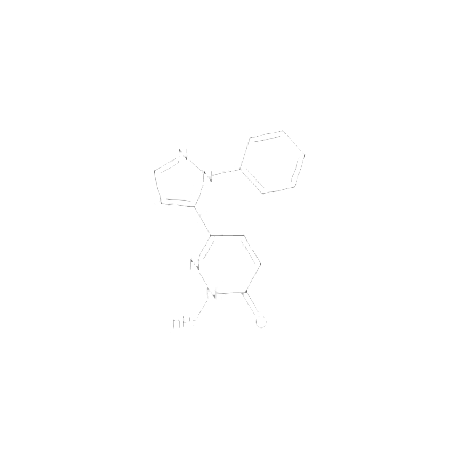 CCCn1nc(-c2ccnn2-c2ccccc2)ccc1=O